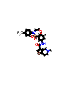 CN1CCc2scc(C(=O)Nc3ccc4c(c3)S(=O)(=O)N(c3ccc(C(F)(F)F)cc3)CCO4)c2C1